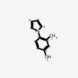 Cc1cc(O)ccc1-n1cccc1